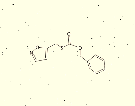 O=C(OCc1ccccc1)SCc1ccno1